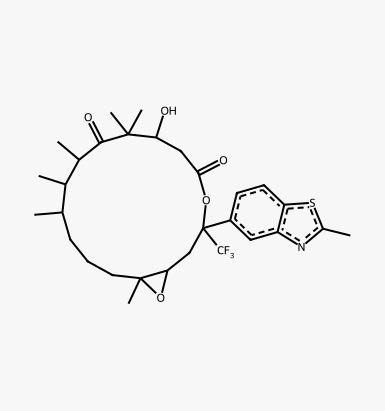 Cc1nc2cc(C3(C(F)(F)F)CC4OC4(C)CCCC(C)C(C)C(C)C(=O)C(C)(C)C(O)CC(=O)O3)ccc2s1